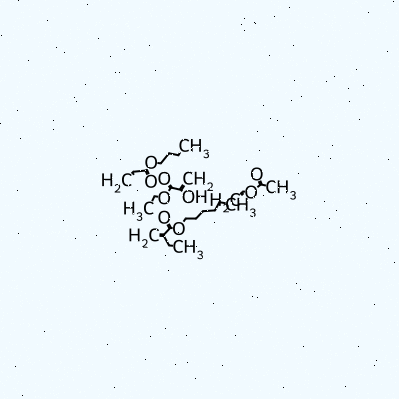 C=C(CC)C(=O)OCCCCCC.C=C(O)C(=O)OCC.C=CC(=O)OCCCC.C=COC(C)=O